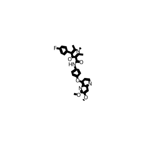 COc1cc2nccc(Oc3ccc(NC(=O)c4c(C)n(C)c(C)c(-c5ccc(F)cc5)c4=O)cc3)c2nc1OC